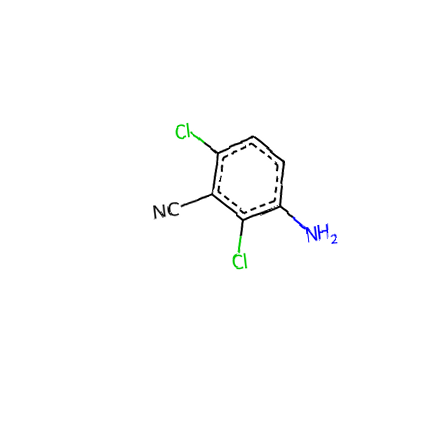 N#Cc1c(Cl)ccc(N)c1Cl